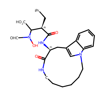 CC(C)C[C@@H](C(=O)N[C@H]1Cc2cn(c3ccccc23)CCCCCCNC1=O)C(C(=O)O)N(O)C=O